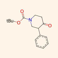 CC(C)(C)OC(=O)N1CCC(=O)C(c2ccccc2)C1